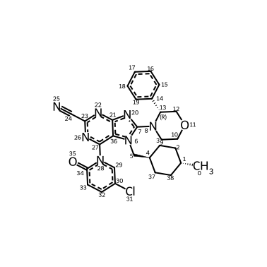 C[C@H]1CC[C@H](Cn2c(N3CCOC[C@H]3c3ccccc3)nc3nc(C#N)nc(-n4cc(Cl)ccc4=O)c32)CC1